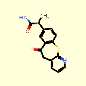 CC(C(N)=O)c1ccc2c(c1)C(=O)Cc1cccnc1S2